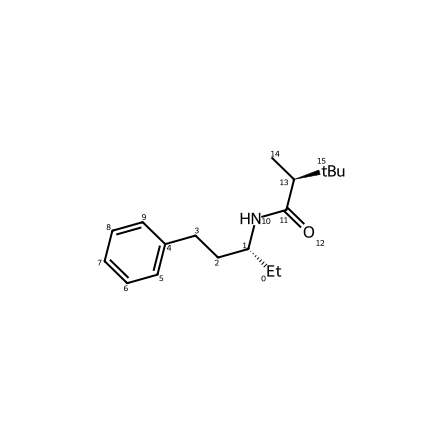 CC[C@H](CCc1ccccc1)NC(=O)[C@@H](C)C(C)(C)C